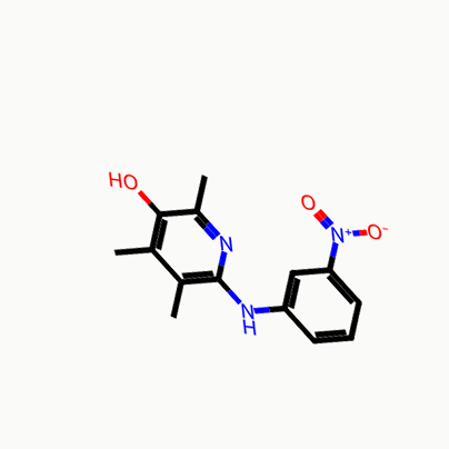 Cc1nc(Nc2cccc([N+](=O)[O-])c2)c(C)c(C)c1O